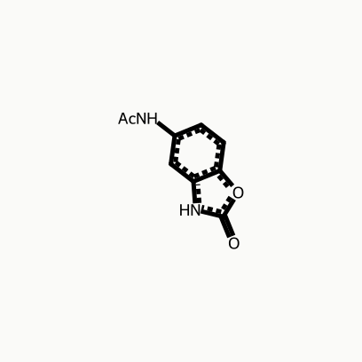 CC(=O)Nc1ccc2oc(=O)[nH]c2c1